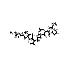 CC(C)C[C@H](NC(=O)[C@@H]1CCCN1C(=O)CN)C(=O)NCC(=O)N[C@H](C(=O)N[C@@H](CCCNC(=N)N)C(=O)O)C(C)C